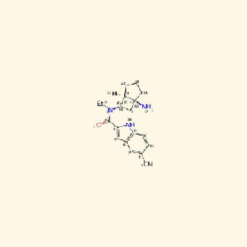 CCN(C(=O)c1cc2cc(C#N)ccc2[nH]1)[C@@H]1C[C@@]2(N)CCC[C@H]12